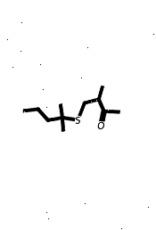 CCCC(C)(C)SCC(C)C(C)=O